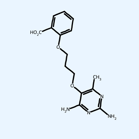 Cc1nc(N)nc(N)c1OCCCOc1ccccc1C(=O)O